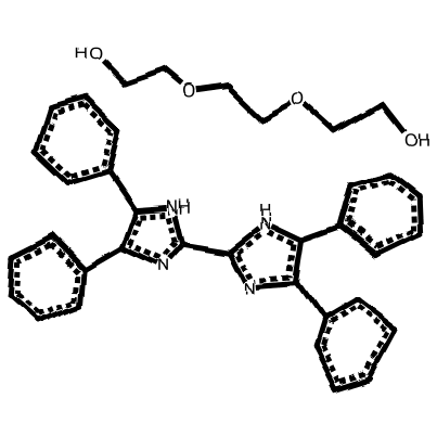 OCCOCCOCCO.c1ccc(-c2nc(-c3nc(-c4ccccc4)c(-c4ccccc4)[nH]3)[nH]c2-c2ccccc2)cc1